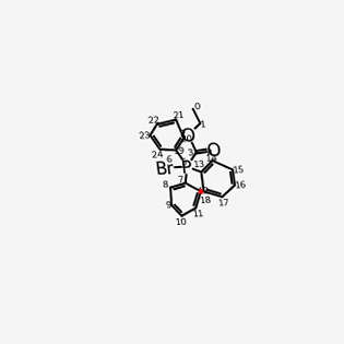 CCOC(=O)P(Br)(c1ccccc1)(c1ccccc1)c1ccccc1